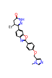 CCC1CC(=O)NN=C1c1ccc2nc(-c3ccc(OCc4cncn4C)cc3)oc2c1